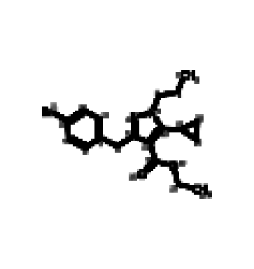 CCCn1nc(Cc2ccc(Br)cc2)c(C(=O)OCC)c1C1CC1